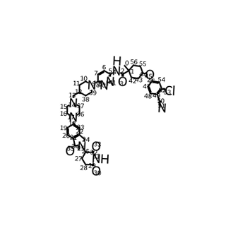 CC1(C(=O)Nc2ccc(N3CCC(CN4CCN(c5ccc6c(c5)CN(C5CCC(=O)NC5=O)C6=O)CC4)CC3)nn2)CCC(Oc2ccc(C#N)c(Cl)c2)CC1